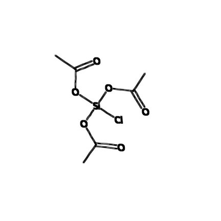 CC(=O)O[Si](Cl)(OC(C)=O)OC(C)=O